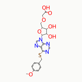 COc1ccc(CSc2ncnc3c2ncn3C2OC(COCC(=O)O)C(O)C2O)cc1